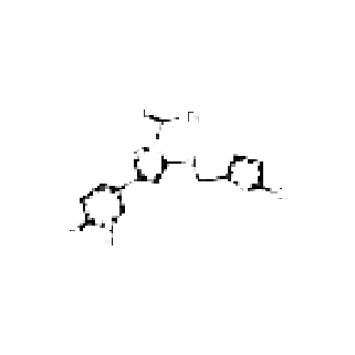 CC(C)(C)C(=O)n1nc(-c2ccc(=O)[nH]c2)cc1NCc1ccc(Cl)s1